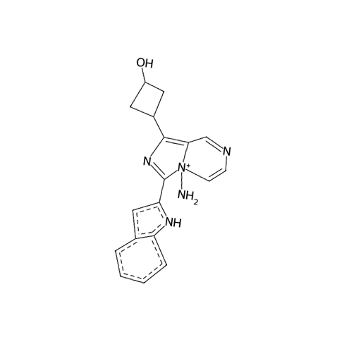 N[N+]12C=CN=CC1=C(C1CC(O)C1)N=C2c1cc2ccccc2[nH]1